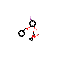 CO.Ic1ccc(OCCC2CC2)c(OCc2ccccc2)c1